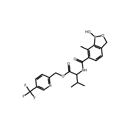 Cc1c(C(=O)NC(C(=O)OCc2ccc(C(F)(F)F)cn2)C(C)C)ccc2c1B(O)OC2